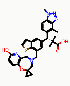 Cc1c([C@@H](c2cc(CN3Cc4nc(O)ccc4OC4(CC4)C3)c3sccc3c2)C(C)(C)C(=O)O)ccc2c1nnn2C